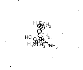 Cc1c(Cc2ccc(S(=O)(=O)N(C)C)cc2)c(C(=O)N(C)C)nn1C/C(F)=C/CN.Cl